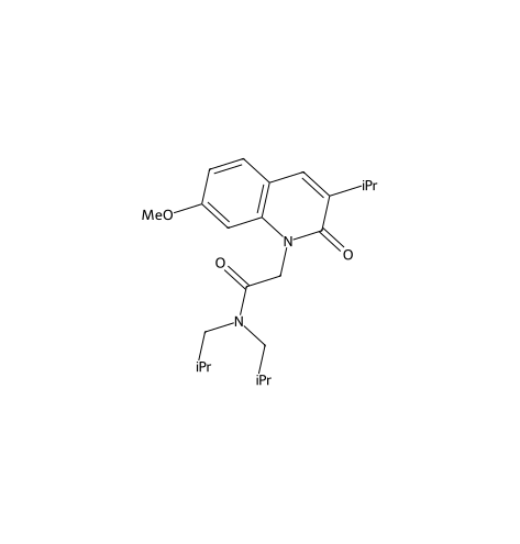 COc1ccc2cc(C(C)C)c(=O)n(CC(=O)N(CC(C)C)CC(C)C)c2c1